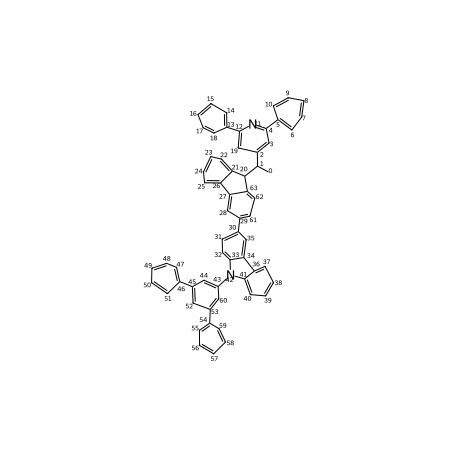 CC(c1cc(-c2ccccc2)nc(-c2ccccc2)c1)C1c2ccccc2-c2cc(-c3ccc4c(c3)c3ccccc3n4-c3cc(-c4ccccc4)cc(-c4ccccc4)c3)ccc21